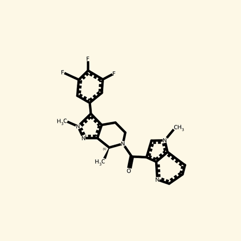 C[C@H]1c2nn(C)c(-c3cc(F)c(F)c(F)c3)c2CCN1C(=O)c1cn(C)c2cccnc12